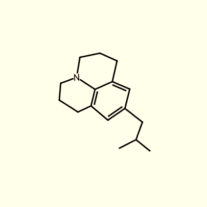 CC(C)Cc1cc2c3c(c1)CCCN3CCC2